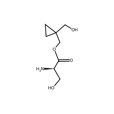 N[C@H](CO)C(=O)OCC1(CO)CC1